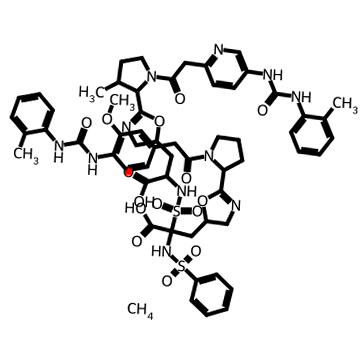 C.COc1cc(CC(=O)N2CCCC2C2=NCC(CC(NS(=O)(=O)c3ccccc3)(C(=O)O)S(=O)(=O)NC(CC3CN=C(C4C(C)CCN4C(=O)Cc4ccc(NC(=O)Nc5ccccc5C)cn4)O3)C(=O)O)O2)ccc1NC(=O)Nc1ccccc1C